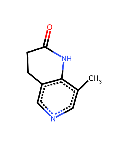 Cc1cncc2c1NC(=O)CC2